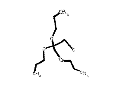 CCCOC(CCl)(OCCC)OCCC